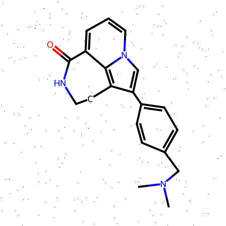 CN(C)Cc1ccc(-c2cn3cccc4c3c2CCNC4=O)cc1